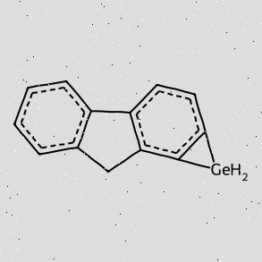 c1ccc2c(c1)Cc1c-2cc[c]2[c]1[GeH2]2